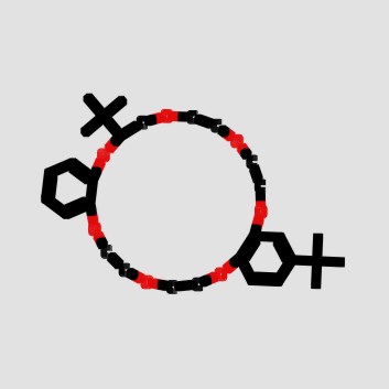 CC(C)(C)c1ccc2c(c1)OCCOCCOCC(C(C)(C)C)Oc1ccccc1OCCOCCO2